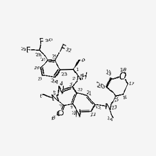 C[C@@H](Nc1nn(C)c(=O)c2ncc(N(C)C3CCOCC3)cc12)c1cccc(C(F)F)c1F